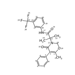 CC1=C(c2ccccc2)C(=O)N(C(C)(C)C(=O)Nc2cccc(C(F)(F)F)c2)CO1